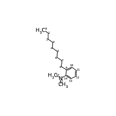 CCCCCCCCCc1ccccc1N(C)C